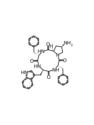 N[C@@H]1C[C@@H]2C(=O)N[C@@H](Cc3ccccc3)C(=O)N[C@H](Cc3c[nH]c4ccccc34)C(=O)N[C@@H](Cc3ccccc3)C(=O)N2C1